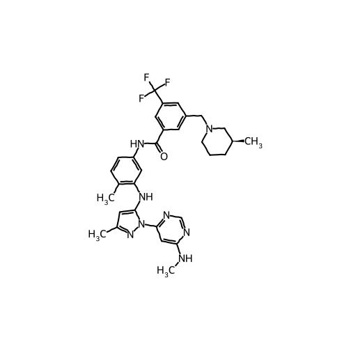 CNc1cc(-n2nc(C)cc2Nc2cc(NC(=O)c3cc(CN4CCC[C@H](C)C4)cc(C(F)(F)F)c3)ccc2C)ncn1